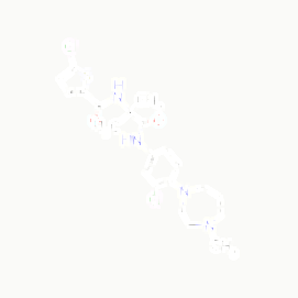 CN1CCCN(c2ccc(NC(=O)C(C)(C)NC(=O)c3ccc(Cl)s3)cc2Cl)CC1